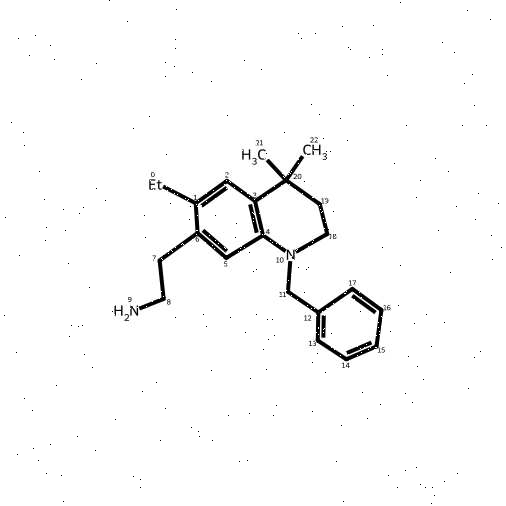 CCc1cc2c(cc1CCN)N(Cc1ccccc1)CCC2(C)C